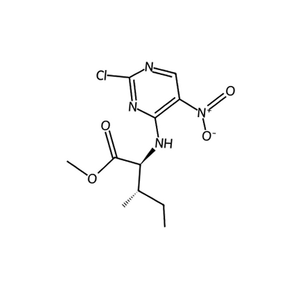 CC[C@H](C)[C@H](Nc1nc(Cl)ncc1[N+](=O)[O-])C(=O)OC